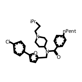 CCCCCc1ccc(C(=O)N(Cc2ccc(-c3ccc(Cl)cc3)o2)C2CCN(CCC(C)C)CC2)cc1